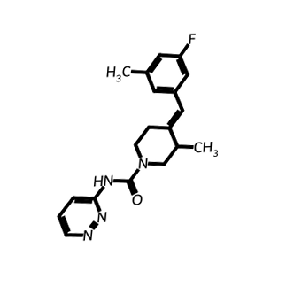 Cc1cc(F)cc(C=C2CCN(C(=O)Nc3cccnn3)CC2C)c1